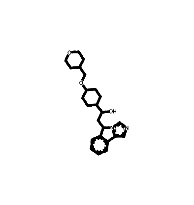 OC(CC1c2ccccc2-c2cncn21)C1CCC(OCC2CCOCC2)CC1